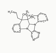 C=CCC1(C)c2ccccc2N2c3cncnc3N(c3ccccc3C)C2C1(C)C